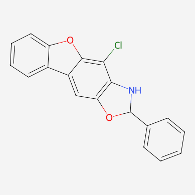 Clc1c2c(cc3c1oc1ccccc13)OC(c1ccccc1)N2